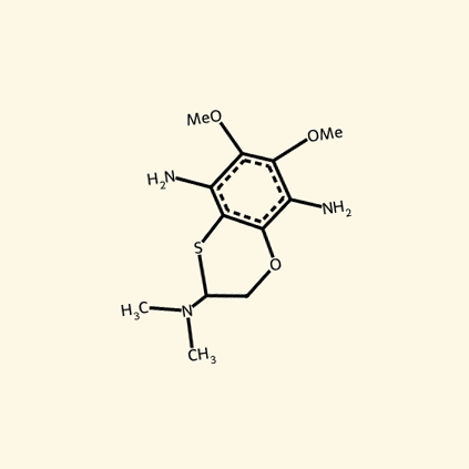 COc1c(N)c2c(c(N)c1OC)SC(N(C)C)CO2